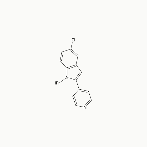 CC(C)n1c(-c2ccncc2)cc2cc(Cl)ccc21